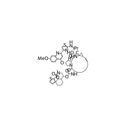 COc1ccc2c(O[C@@H]3C[C@H]4C(=O)N[C@]5(C(=O)O)CC5/C=C\CCCCC[C@H](NC(=O)OC(CN(C)S(=O)(=O)c5cccs5)C5CCCCC5)C(=O)N4C3)cc(-c3csc(NC(C)C)n3)nc2c1